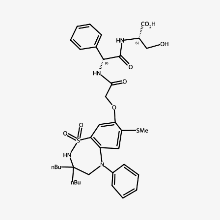 CCCCC1(CCCC)CN(c2ccccc2)c2cc(SC)c(OCC(=O)N[C@@H](C(=O)N[C@@H](CO)C(=O)O)c3ccccc3)cc2S(=O)(=O)N1